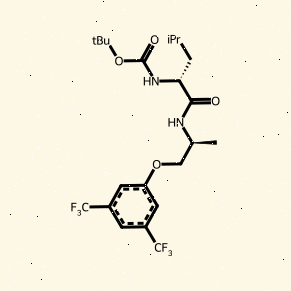 CC(C)C[C@@H](NC(=O)OC(C)(C)C)C(=O)N[C@@H](C)COc1cc(C(F)(F)F)cc(C(F)(F)F)c1